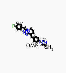 COc1cc(C=C2CCCn3c(Cc4ccc(F)cc4)nnc32)ccc1-n1cnc(C)c1